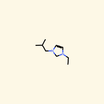 CCN1C=CN(CC(C)C)C1